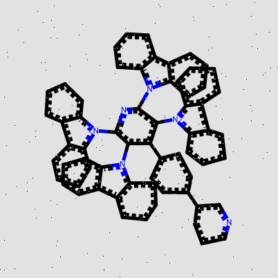 c1cncc(-c2ccc(-c3c(-n4c5ccccc5c5ccccc54)c(-n4c5ccccc5c5ccccc54)nc(-n4c5ccccc5c5ccccc54)c3-n3c4ccccc4c4ccccc43)cc2)c1